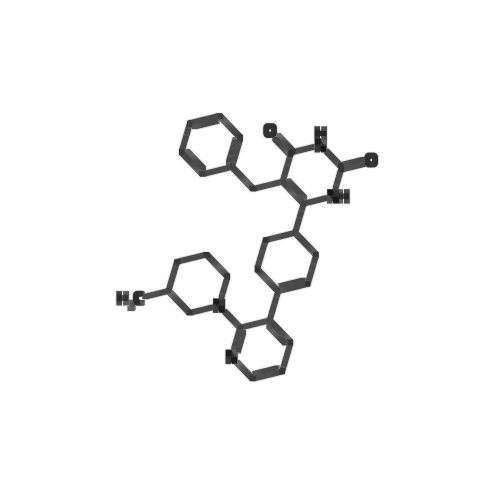 CC1CCCN(c2ncccc2C2=CCC(c3[nH]c(=O)[nH]c(=O)c3Cc3ccccc3)CC2)C1